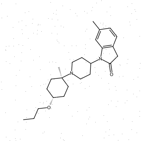 CCCO[C@H]1CC[C@](C)(N2CCC(N3C(=O)Cc4ccc(C)cc43)CC2)CC1